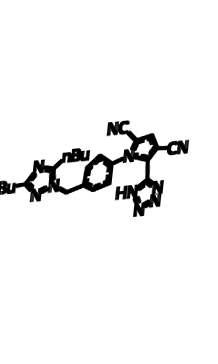 CCCCc1nc(C(C)CC)nn1Cc1ccc(-n2c(C#N)cc(C#N)c2-c2nnn[nH]2)cc1